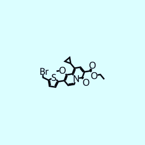 CCOC(=O)c1cc(C2CC2)c2c(OC)c(-c3ccc(CBr)s3)ccn2c1=O